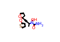 CC(C#CC1(Oc2cccs2)CC=CO1)N(O)C(N)=O